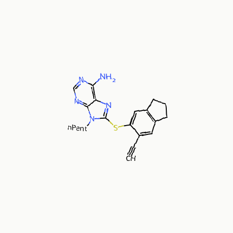 C#Cc1cc2c(cc1Sc1nc3c(N)ncnc3n1CCCCC)CCC2